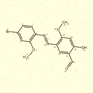 COc1cc(Br)ccc1/N=N/c1cc(C=O)c(O)cc1OC